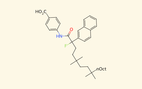 CCCCCCCCC(C)(C)CCC(C)(C)CCC(F)(C(=O)Nc1ccc(C(=O)O)cc1)c1ccc2ccccc2c1